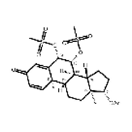 CC(=O)O[C@H]1CC[C@H]2[C@@H]3[C@@H](OS(C)(=O)=O)[C@@H](OS(C)(=O)=O)C4=CC(=O)C=C[C@]4(C)[C@H]3CC[C@]12C